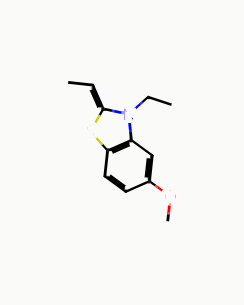 C/C=C1\Sc2ccc(OC)cc2N1CC